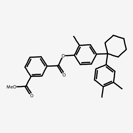 COC(=O)c1cccc(C(=O)Oc2ccc(C3(c4ccc(C)c(C)c4)CCCCC3)cc2C)c1